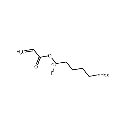 C=CC(=O)O[C@@H](F)CCCCCCCCCC